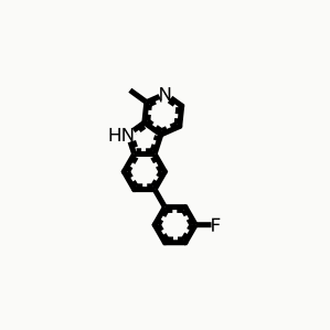 Cc1nccc2c1[nH]c1ccc(-c3cccc(F)c3)cc12